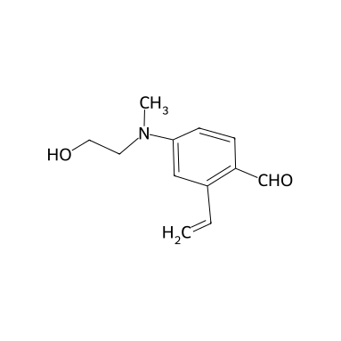 C=Cc1cc(N(C)CCO)ccc1C=O